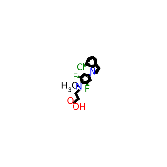 CN(CCCC(=O)O)c1c(F)cc(-n2ccc3cccc(Cl)c32)cc1F